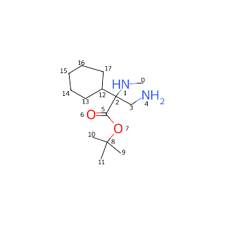 CNC(CN)(C(=O)OC(C)(C)C)C1CCCCC1